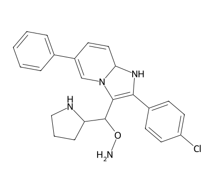 NOC(C1=C(c2ccc(Cl)cc2)NC2C=CC(c3ccccc3)=CN12)C1CCCN1